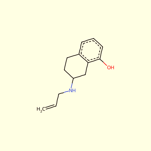 C=CCNC1CCc2cccc(O)c2C1